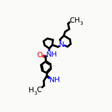 CCCCC1CCCN(CC2CCCCC2NC(=O)c2ccc(C(=N)CCC)cc2)C1